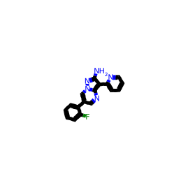 Nc1nn2cc(-c3ccccc3F)cnc2c1-c1ccccn1